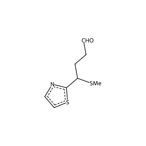 CSC(CCC=O)c1nccs1